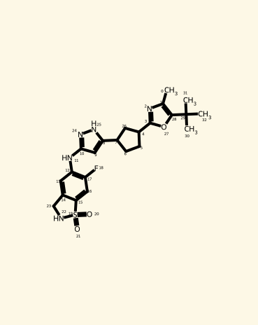 Cc1nc(C2CCC(c3cc(Nc4cc5c(cc4F)S(=O)(=O)NC5)n[nH]3)C2)oc1C(C)(C)C